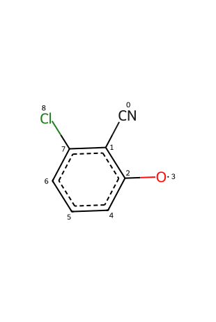 N#Cc1c([O])cccc1Cl